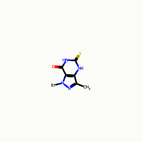 CCn1nc(C)c2[nH]c(=S)[nH]c(=O)c21